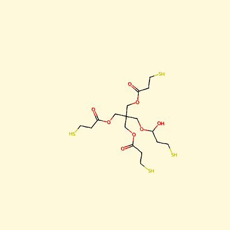 O=C(CCS)OCC(COC(=O)CCS)(COC(=O)CCS)COC(O)CCS